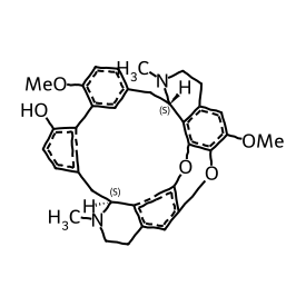 COc1ccc2cc1-c1cc(ccc1O)C[C@H]1c3cc4c(cc3CCN1C)Oc1c(OC)cc3c(c1O4)[C@H](C2)N(C)CC3